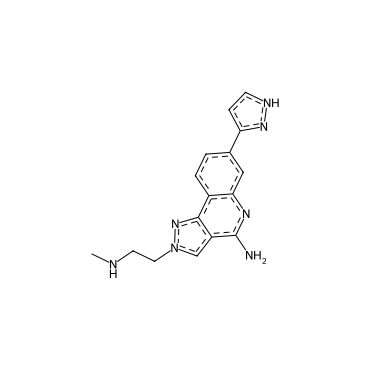 CNCCn1cc2c(N)nc3cc(-c4cc[nH]n4)ccc3c2n1